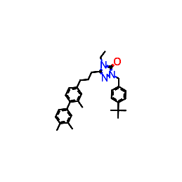 CCn1c(CCCc2ccc(-c3ccc(C)c(C)c3)c(C)c2)nn(Cc2ccc(C(C)(C)C)cc2)c1=O